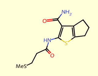 CSCCC(=O)Nc1sc2c(c1C(N)=O)CCC2